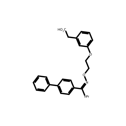 CCCC(=NOCCOc1cccc(CC(=O)O)c1)c1ccc(-c2ccccc2)cc1